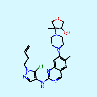 C=CCCn1ncc(Nc2ncc3cc(C)c(N4CCN(C5(C)COCC5O)CC4)cc3n2)c1Cl